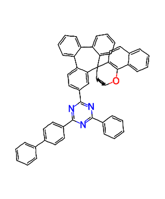 c1ccc(-c2ccc(-c3nc(-c4ccccc4)nc(-c4ccc5c(c4)C4(c6ccccc6Oc6c4ccc4ccccc64)c4ccccc4-c4ccccc4-5)n3)cc2)cc1